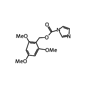 COc1cc(OC)c(COC(=O)n2ccnc2)c(OC)c1